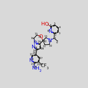 CC(c1cccc(O)n1)N1CC[C@]2(C1)OCCn1nc(-c3cnc(N)c(C(F)(F)F)c3)cc12